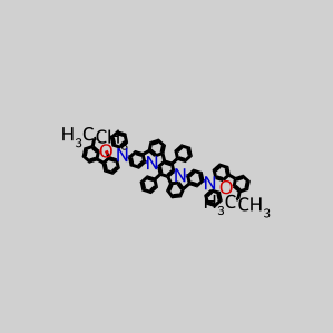 CC(C)c1cccc2c1oc1c(N(c3ccccc3)c3ccc4c(c3)c3cccc5c6c(-c7ccccc7)c7c(c(-c8ccccc8)c6n4c35)c3cccc4c5cc(N(c6ccccc6)c6cccc8c6oc6c(C(C)C)cccc68)ccc5n7c43)cccc12